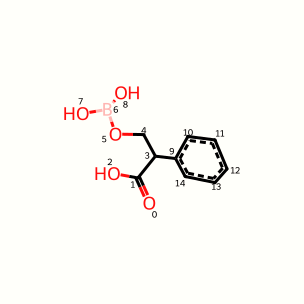 O=C(O)C(COB(O)O)c1ccccc1